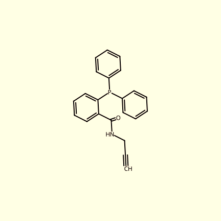 C#CCNC(=O)c1ccccc1P(c1ccccc1)c1ccccc1